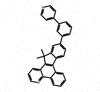 CC1(C)c2cc(-c3cccc(-c4ccncc4)c3)ccc2-c2c1c1cccnc1c1ccccc21